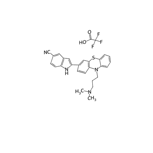 CN(C)CCCN1c2ccccc2Sc2cc(-c3cc4cc(C#N)ccc4[nH]3)ccc21.O=C(O)C(F)(F)F